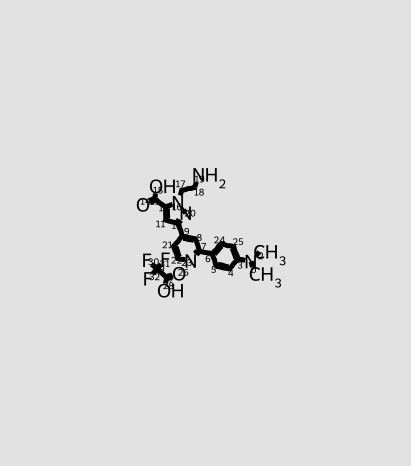 CN(C)c1ccc(-c2cc(-c3cc(C(=O)O)n(CCN)n3)ccn2)cc1.O=C(O)C(F)(F)F